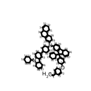 C=CC1=CCC(OC2CC=C(C3(C4C=CCCC4)C4=C(C=CC(N(C5=CC6=C(CC5)C5CCC=CC5CC6)C5CCC(C6=CC7C8CC=CCC8N(C8CCCCC8)C7CC6)CC5)C4)C4CCC=CC43)CC2)C=C1